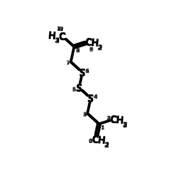 C=C(C)CSSSCC(=C)C